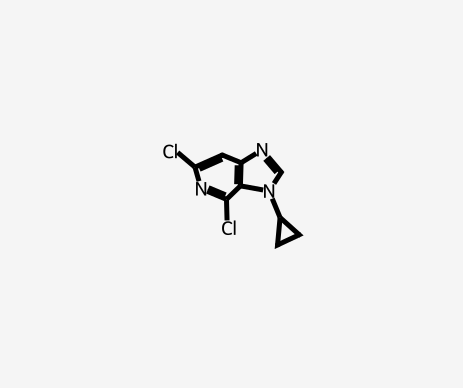 Clc1cc2ncn(C3CC3)c2c(Cl)n1